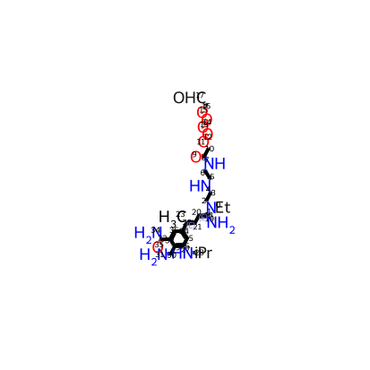 CCN(CCNCCNC(=O)COOOOOCC=O)/C(N)=C/C=C(\C)c1cc(NC(C)C)c(CN)c(C(N)=O)c1